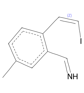 Cc1ccc(/C=C\I)c(C=N)c1